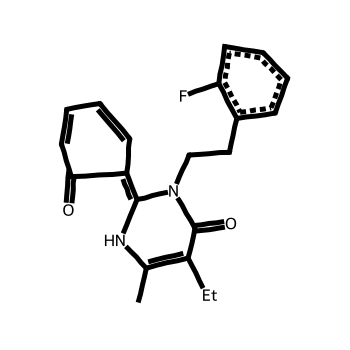 CCC1=C(C)N/C(=C2/C=CC=CC2=O)N(CCc2ccccc2F)C1=O